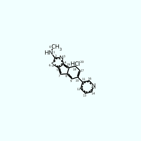 CNc1nc2c(s1)=CC1=CC(c3cccnc3)=CCC=21.Cl